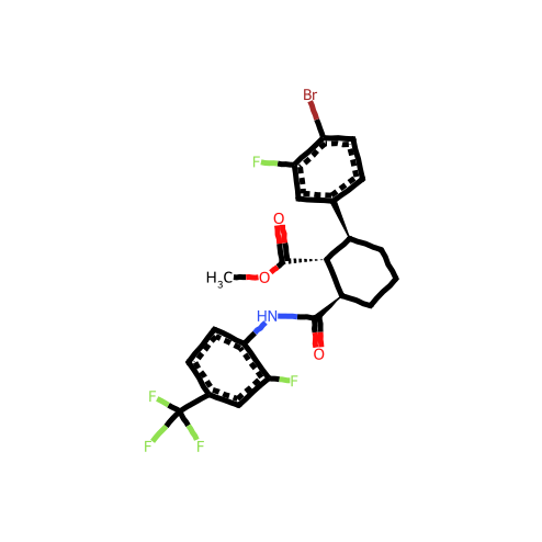 COC(=O)[C@@H]1[C@@H](c2ccc(Br)c(F)c2)CCC[C@H]1C(=O)Nc1ccc(C(F)(F)F)cc1F